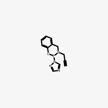 C#CCN1Cc2ccccc2OP1n1cncn1